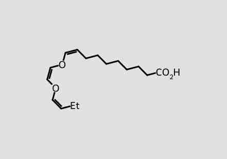 CC/C=C\O/C=C\O/C=C\CCCCCCCC(=O)O